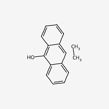 CC.Oc1c2ccccc2cc2ccccc12